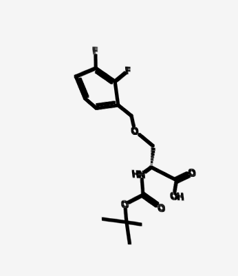 CC(C)(C)OC(=O)N[C@H](COCc1cccc(F)c1F)C(=O)O